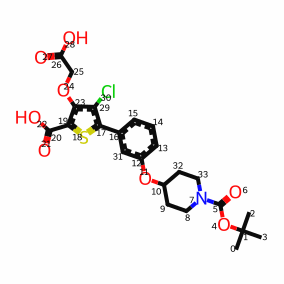 CC(C)(C)OC(=O)N1CCC(Oc2cccc(-c3sc(C(=O)O)c(OCC(=O)O)c3Cl)c2)CC1